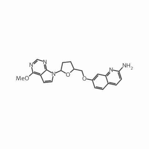 COc1ncnc2c1ccn2C1CCC(COc2ccc3ccc(N)nc3c2)O1